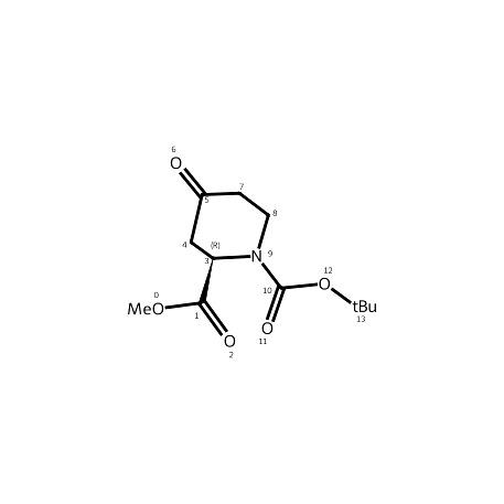 COC(=O)[C@H]1CC(=O)CCN1C(=O)OC(C)(C)C